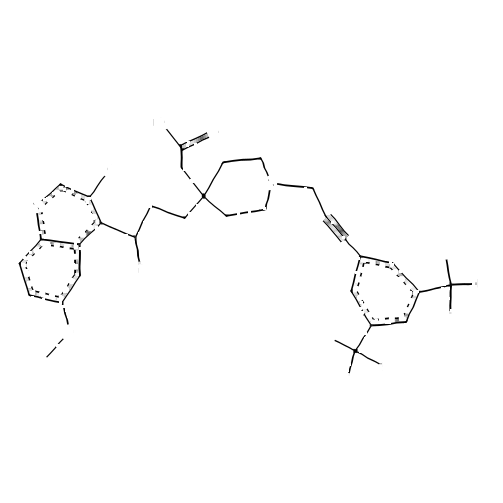 COc1ccc2ncc(Cl)c(C(F)CCC3(CC(=O)O)CCN(CC#Cc4cc(C(F)(F)F)cc(C(F)(F)F)c4)CC3)c2c1